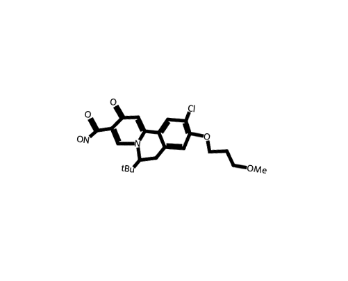 COCCCOc1cc2c(cc1Cl)-c1cc(=O)c(C(=O)N=O)cn1C(C(C)(C)C)C2